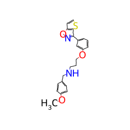 COc1ccc(CNCCCOc2cccc(-c3noc4ccsc34)c2)cc1